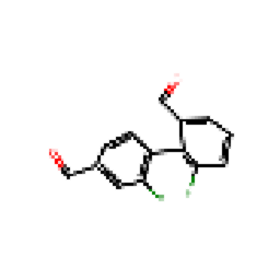 O=Cc1ccc(-c2c(F)cccc2C=O)c(F)c1